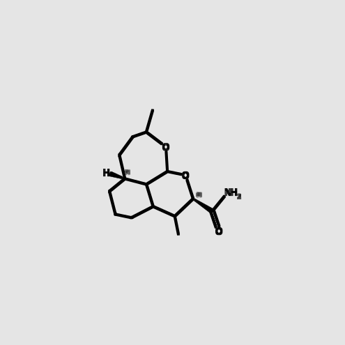 CC1CC[C@H]2CCCC3C2C(O1)O[C@@H](C(N)=O)C3C